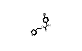 CCc1ccc(NC(=O)OCCc2ccncc2)cc1